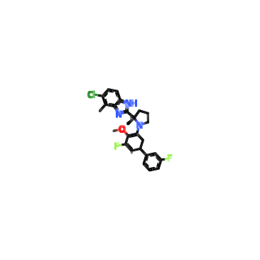 COC1=C(N2CCC[C@@]2(C)c2nc3c(C)c(Cl)ccc3[nH]2)CC(c2cccc(F)c2)[C]=C1F